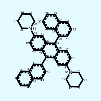 c1ccc2cc(-c3c4cc(N5CCCCC5)ccc4c(-c4cccc5ccccc45)c4cc(N5CCCCC5)ccc34)ccc2c1